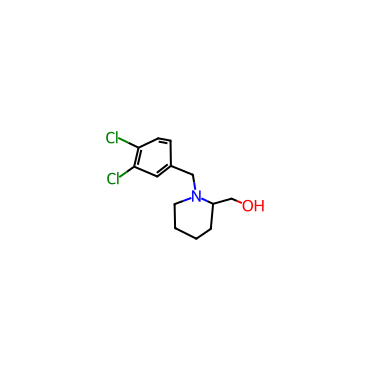 OCC1CCCCN1Cc1ccc(Cl)c(Cl)c1